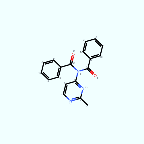 Cc1nccc(N(C(=O)c2ccccc2)C(=O)c2ccccc2)n1